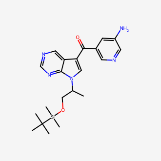 CC(CO[Si](C)(C)C(C)(C)C)n1cc(C(=O)c2cncc(N)c2)c2cncnc21